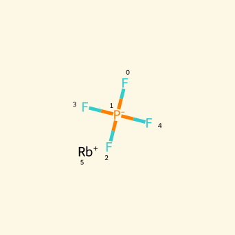 F[P-](F)(F)F.[Rb+]